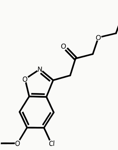 CCOCC(=O)Cc1noc2cc(OC)c(Cl)cc12